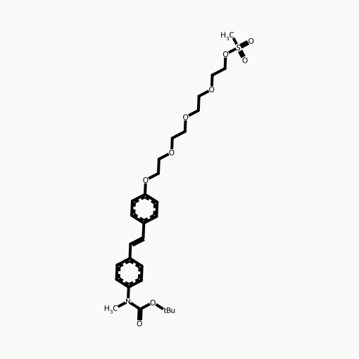 CN(C(=O)OC(C)(C)C)c1ccc(C=Cc2ccc(OCCOCCOCCOCCOS(C)(=O)=O)cc2)cc1